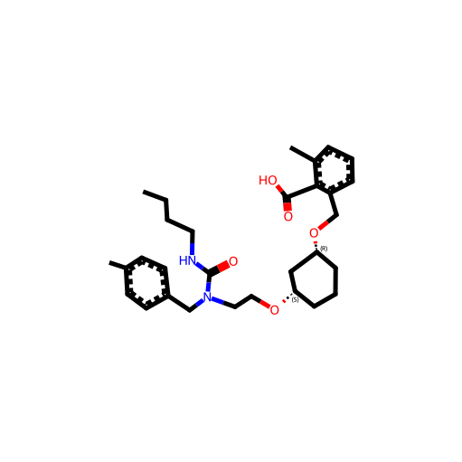 CCCCNC(=O)N(CCO[C@H]1CCC[C@@H](OCc2cccc(C)c2C(=O)O)C1)Cc1ccc(C)cc1